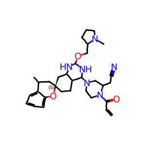 C=CC(=O)N1CCN(C2NC(OCC3CCCN3C)NC3C[C@]4(CCC32)CC(C)c2ccccc2O4)CC1CC#N